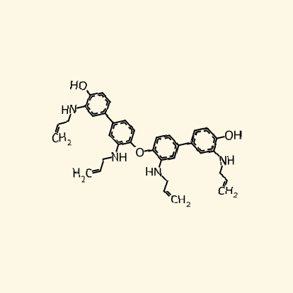 C=CCNc1cc(-c2ccc(Oc3ccc(-c4ccc(O)c(NCC=C)c4)cc3NCC=C)c(NCC=C)c2)ccc1O